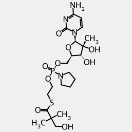 CC(C)(CO)C(=O)SCCOP(=O)(OC[C@H]1O[C@@H](n2ccc(N)nc2=O)[C@](C)(O)[C@@H]1O)N1CCCC1